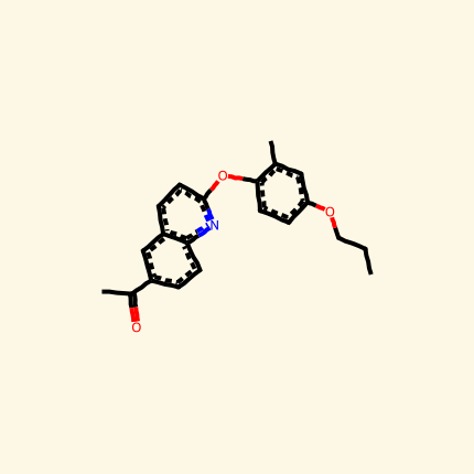 CCCOc1ccc(Oc2ccc3cc(C(C)=O)ccc3n2)c(C)c1